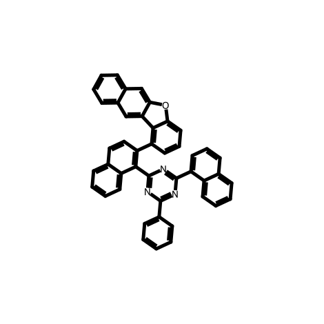 c1ccc(-c2nc(-c3cccc4ccccc34)nc(-c3c(-c4cccc5oc6cc7ccccc7cc6c45)ccc4ccccc34)n2)cc1